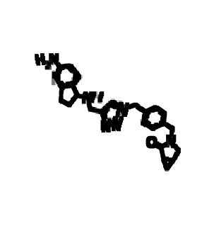 Nc1ccc2c(n1)CCC2NCc1cn(Cc2ccc(CN3CC4CC4C3=O)cc2)nn1